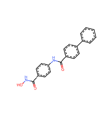 O=C(NO)c1ccc(NC(=O)c2ccc(-c3ccccc3)cc2)cc1